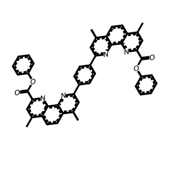 Cc1cc(C(=O)Oc2ccccc2)nc2c1ccc1c(C)cc(-c3ccc(-c4cc(C)c5ccc6c(C)cc(C(=O)Oc7ccccc7)nc6c5n4)cc3)nc12